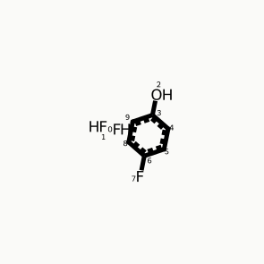 F.F.Oc1ccc(F)cc1